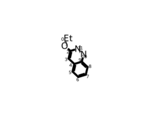 CCOc1cc2ccccc2nn1